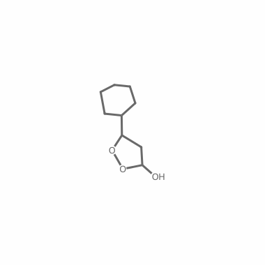 OC1CC(C2CCCCC2)OO1